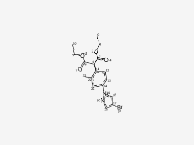 CCOC(=O)C(C(=O)OCC)c1ccc(-n2cc(Br)cn2)cc1C